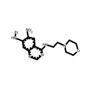 CCNc1cc2ncnc(NCCN3CCOCC3)c2cc1[N+](=O)[O-]